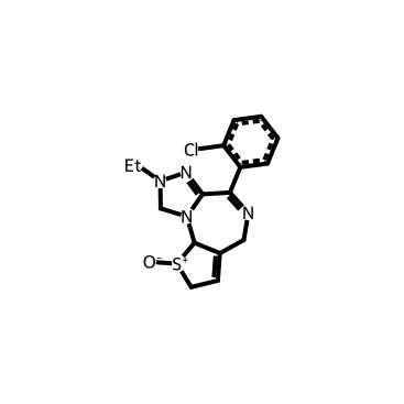 CCN1CN2C(=N1)C(c1ccccc1Cl)=NCC1=CC[S+]([O-])C12